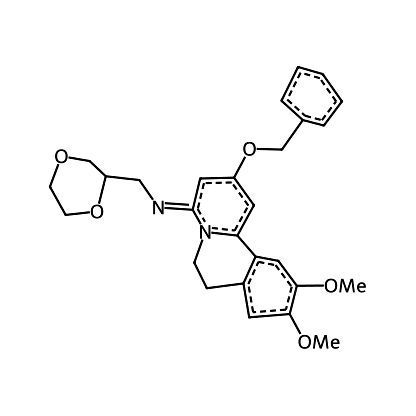 COc1cc2c(cc1OC)-c1cc(OCc3ccccc3)cc(=NCC3COCCO3)n1CC2